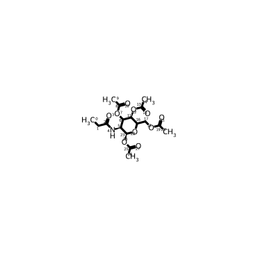 CCC(=O)N[C@H]1C(OC(C)=O)[C@@H](OC(C)=O)C(COC(C)=O)O[C@H]1OC(C)=O